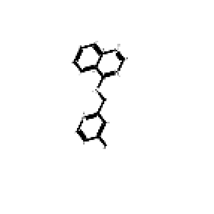 Cc1ccnc(CSc2ncnc3ccccc23)c1